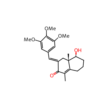 COc1cc(C=C2C[C@@]3(C)C(=C(C)C2=O)CCC[C@@H]3O)cc(OC)c1OC